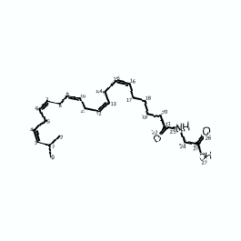 CC(C)/C=C\C/C=C\C/C=C\C/C=C\C/C=C\CCCCC(=O)NCC(=O)O